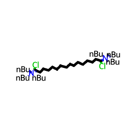 CCCC[N+](CCCC)(CCCC)C(Cl)CCCCCCCCCCCCCCC(Cl)[N+](CCCC)(CCCC)CCCC